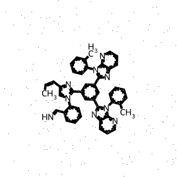 C/C=C\c1cn(-c2ccccc2C=N)c(-c2cc(-c3nc4cccnc4n3-c3ccccc3C)cc(-c3nc4cccnc4n3-c3ccccc3C)c2)n1